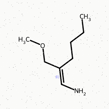 CCCC/C(=C\N)COC